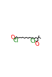 CC(C)C(CCCCCCCCCCCCCC(=O)Cl)CC(=O)Cl